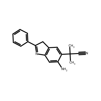 CC(C)(C#N)c1cc2c(cc1N)N=C(c1ccccc1)C2